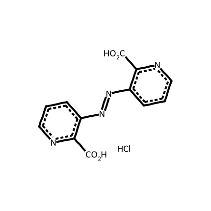 Cl.O=C(O)c1ncccc1N=Nc1cccnc1C(=O)O